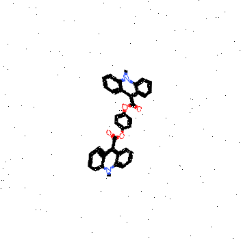 CN1c2ccccc2C(C(=O)Oc2ccc(OC(=O)C3c4ccccc4N(C)c4ccccc43)cc2)c2ccccc21